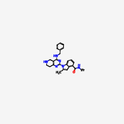 Cc1cc2c(C(=O)NC(C)C)cccc2n1-c1nc2c(c(NCc3ccccc3)n1)CNCC2